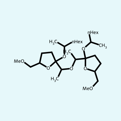 CCCCCCC(C)OC1(C(C)OC(C)C2(OC(C)CCCCCC)CCC(COC)O2)CCC(COC)O1